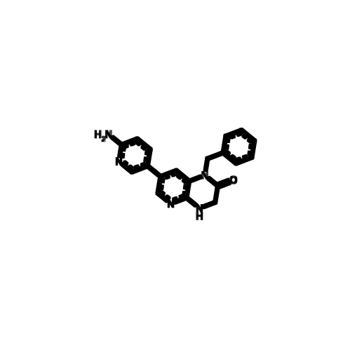 Nc1ccc(-c2cnc3c(c2)N(Cc2ccccc2)C(=O)CN3)cn1